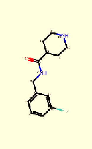 O=C(NCc1cccc(F)c1)C1CCNCC1